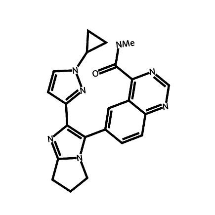 CNC(=O)c1ncnc2ccc(-c3c(-c4ccn(C5CC5)n4)nc4n3CCC4)cc12